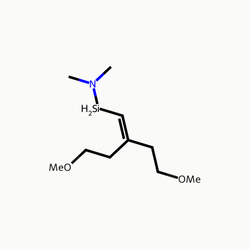 COCCC(=C[SiH2]N(C)C)CCOC